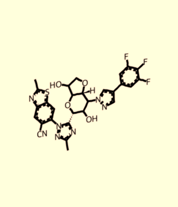 Cc1nc([C@@H]2OC3C(O)CO[C@@H]3C(n3cc(-c4cc(F)c(F)c(F)c4)cn3)C2O)n(-c2cc3sc(C)nc3cc2C#N)n1